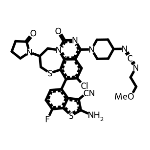 COCCN=C=NC1CCN(c2nc(=O)n3c4c(c(-c5ccc(F)c6sc(N)c(C#N)c56)c(Cl)cc24)SCC(N2CCCC2=O)C3)CC1